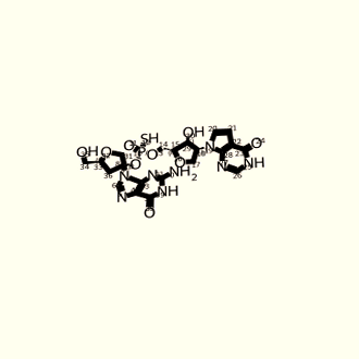 Nc1nc2c(ncn2[C@]2(OP(=O)(S)OC[C@H]3OC[C@@H](n4ccc5c(=O)[nH]cnc54)[C@@H]3O)CO[C@H](CO)C2)c(=O)[nH]1